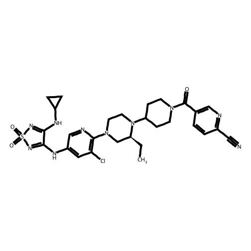 CC[C@H]1CN(c2ncc(NC3=NS(=O)(=O)N=C3NC3CC3)cc2Cl)CCN1C1CCN(C(=O)c2ccc(C#N)nc2)CC1